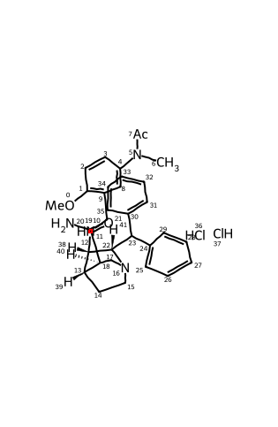 COc1ccc(N(C)C(C)=O)cc1CN[C@H]1[C@H]2CCN(C[C@@H]2C(N)=O)[C@H]1C(c1ccccc1)c1ccccc1.Cl.Cl